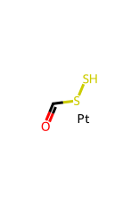 O=CSS.[Pt]